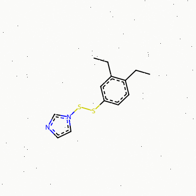 CCc1ccc(SSn2ccnc2)cc1CC